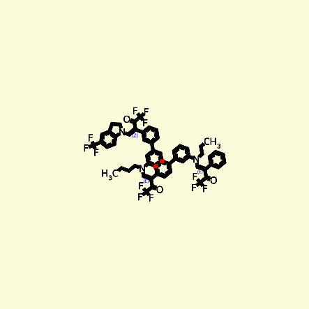 CCCCN(/C=C(/C(=O)C(F)(F)F)c1ccc(-c2cccc(N(/C=C(/C(=O)C(F)(F)F)c3ccccc3)CCC)c2)cc1)c1cccc(-c2cccc(/C(=C/N3CCc4cc(C(F)(F)F)ccc43)C(=O)C(F)(F)F)c2)c1